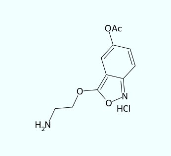 CC(=O)Oc1ccc2noc(OCCN)c2c1.Cl